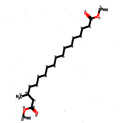 CCCCCOC(=O)CCCCCCCCCCCCCCC(C)CC(=O)OCCCCC